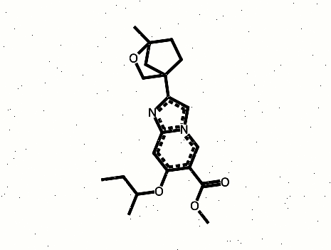 CCC(C)Oc1cc2nc(C34CCC(C)(C3)OC4)cn2cc1C(=O)OC